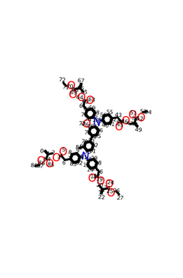 C=C(COC(=O)Cc1ccc(N(c2ccc(CC(=O)OCC(=C)C(=O)OCC)cc2)c2ccc(-c3ccc(N(c4ccc(CC(=O)OCC(=C)C(=O)OCC)cc4)c4ccc(CC(=O)OCC(=C)C(=O)OCC)cc4)c(OC)c3)cc2C)cc1)C(=O)OCC